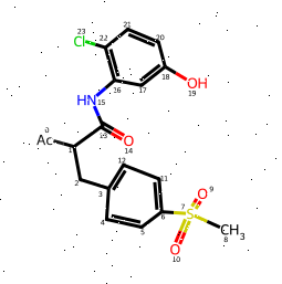 CC(=O)C(Cc1ccc(S(C)(=O)=O)cc1)C(=O)Nc1cc(O)ccc1Cl